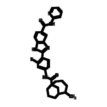 CC1CCCC2(C(=O)Nc3ccc(-c4nc5cc(C(=O)Nc6ccccn6)ccc5[nH]4)c(F)c3)CCCC1C2